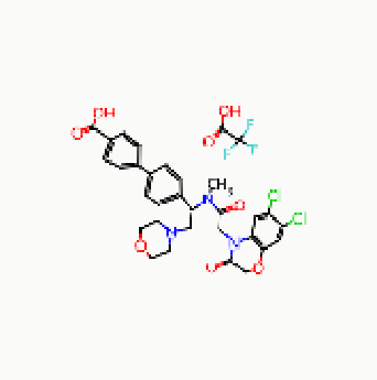 CN(C(=O)CN1C(=O)COc2cc(Cl)c(Cl)cc21)[C@@H](CN1CCOCC1)c1ccc(-c2ccc(C(=O)O)cc2)cc1.O=C(O)C(F)(F)F